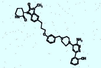 Cn1c(=O)n(C2CCCNC2=O)c2ccc(CCCOc3cccc(CN4CCN(c5cc(-c6ccccc6O)nnc5N)CC4)c3)cc21